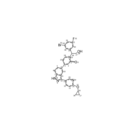 O=c1cc(-c2ccc3[nH]nc(-c4ccc(OC5CC5)nc4)c3c2)ccn1C(CO)c1cc(F)cc(Br)c1